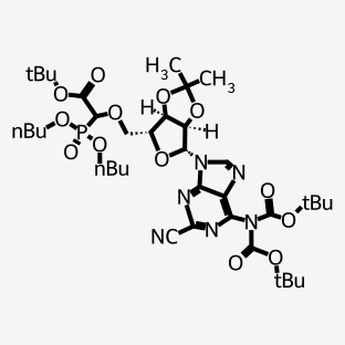 CCCCOP(=O)(OCCCC)C(OC[C@H]1O[C@@H](n2cnc3c(N(C(=O)OC(C)(C)C)C(=O)OC(C)(C)C)nc(C#N)nc32)[C@@H]2OC(C)(C)O[C@@H]21)C(=O)OC(C)(C)C